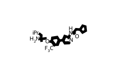 CC(C)CC(C)(N)COc1ccc(-c2ccnc(NC(=O)CC3CCCC3)c2)cc1C(F)(F)F